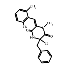 CCC1(Cc2ccccc2)NC(=O)/C(=C\c2c(C)cccc2C#N)N(C)C1=O